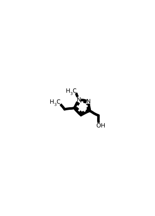 CCc1cc(CO)nn1C